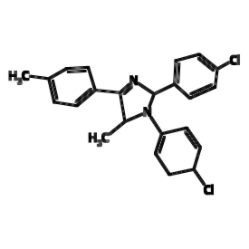 Cc1ccc(C2=NC(c3ccc(Cl)cc3)N(C3=CCC(Cl)C=C3)C2C)cc1